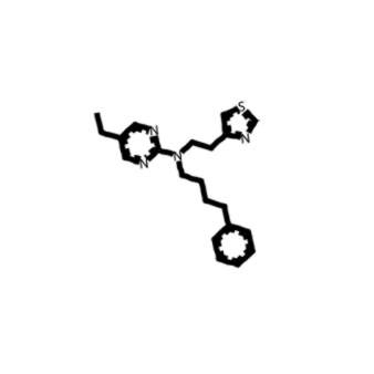 CCc1cnc(N(CCCCc2ccccc2)CCc2cs[c]n2)nc1